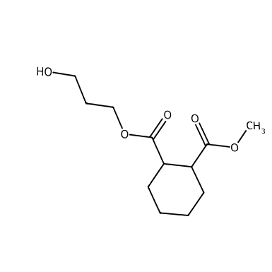 COC(=O)C1CCCCC1C(=O)OCCCO